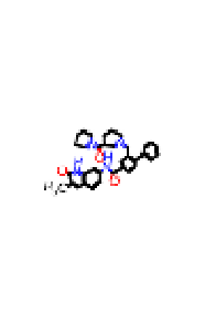 Cc1cc2ccc(NC(=O)c3ccc(-c4ccccc4)c(CN4CCCC(C(=O)N5CCCCC5)C4)c3)cc2[nH]c1=O